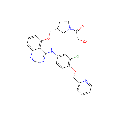 O=C(CO)N1CC[C@@H](COc2cccc3ncnc(Nc4ccc(OCc5ccccn5)c(Cl)c4)c23)C1